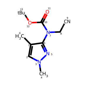 Cc1cn(C)nc1N(CC#N)C(=O)OC(C)(C)C